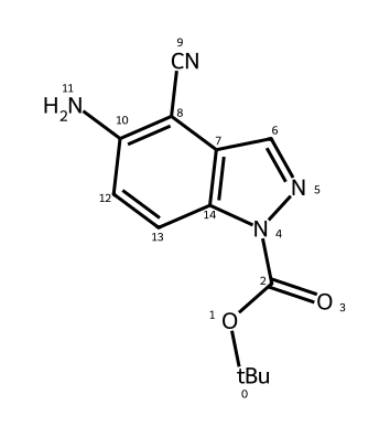 CC(C)(C)OC(=O)n1ncc2c(C#N)c(N)ccc21